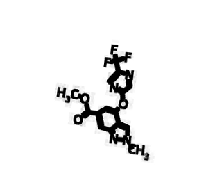 COC(=O)c1cc(Oc2cnc(C(F)(F)F)cn2)c2cn(C)nc2c1